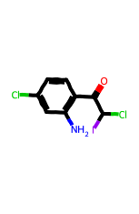 Nc1cc(Cl)ccc1C(=O)C(Cl)I